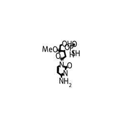 CO[C@]1(CO)O[C@@H](n2ccc(N)nc2=O)CC1O[PH](=O)S